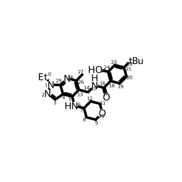 CCn1ncc2c(NC3CCOCC3)c(CNC(=O)c3ccc(C(C)(C)C)cc3O)c(C)nc21